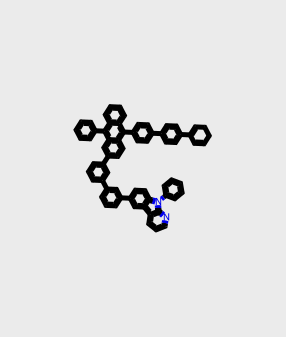 C1=CC(c2ccc(-c3ccc(-c4c5ccccc5c(-c5ccccc5)c5cc(-c6cccc(-c7cccc(-c8ccc9c(c8)c8cccnc8n9-c8ccccc8)c7)c6)ccc45)cc3)cc2)=CCC1